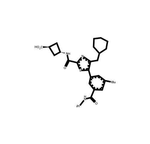 CC(C)NC(=O)c1cc(-c2sc(C(=O)N[C@H]3C[C@H](C(=O)O)C3)nc2CC2CCCCC2)cc(C(C)(C)C)c1